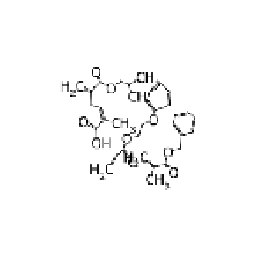 C=C(C)C(=O)OCc1ccccc1.C=C(CC=C(C)C(=O)O)C(=O)OCC(C)C.C=CC(=O)OCCOc1ccccc1